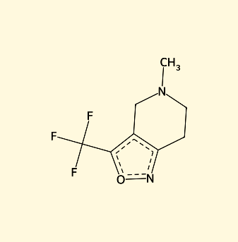 CN1CCc2noc(C(F)(F)F)c2C1